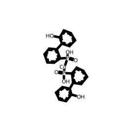 O=[P](O)([Co][P](=O)(O)c1ccccc1-c1ccccc1O)c1ccccc1-c1ccccc1O